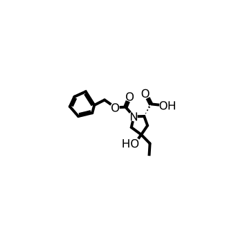 CCC1(O)C[C@@H](C(=O)O)N(C(=O)OCc2ccccc2)C1